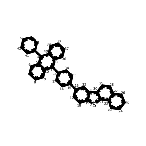 c1ccc(-c2c3ccccc3c(-c3ccc(-c4ccc5sc6c7ccccc7ccc6c5c4)cc3)c3ccccc23)cc1